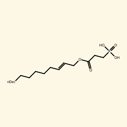 CCCCCCCCCCCCCCCC=CCOC(=O)CCP(=O)(O)O